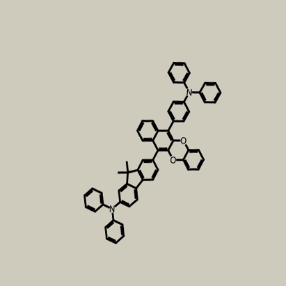 CC1(C)c2cc(-c3c4c(c(-c5ccc(N(c6ccccc6)c6ccccc6)cc5)c5ccccc35)Oc3ccccc3O4)ccc2-c2ccc(N(c3ccccc3)c3ccccc3)cc21